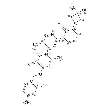 Cc1cnc(COc2cc(C)n(-c3cc(-n4cccc(C5CC(C)(O)C5)c4=O)ncc3C)c(=O)c2Cl)c(F)c1